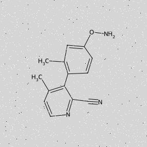 Cc1cc(ON)ccc1-c1c(C)ccnc1C#N